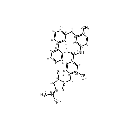 Cc1ccc(NC(=O)c2ccc(CN3C[C@@H](N(C)C)C[C@H]3C)c(C(F)(F)F)c2)cc1Nc1nccc(-c2cncnc2)n1